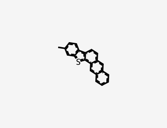 Cc1ccc2c(c1)sc1c3cc4ccccc4cc3ccc21